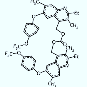 CCc1nc2cc(C)c(Oc3ccc(OC(F)(F)F)cc3)cc2c(COC(=O)OCc2c(C)c(CC)nc3cc(C)c(Oc4ccc(OC(F)(F)F)cc4)cc23)c1C